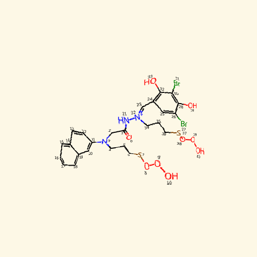 O=C(CN(CCCSOOO)c1ccc2ccccc2c1)N/[N+](=C/c1cc(Br)c(O)c(Br)c1O)CCCSOOO